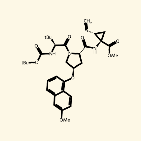 C=C[C@@H]1C[C@]1(NC(=O)[C@@H]1C[C@@H](Oc2cccc3cc(OC)ccc23)CN1C(=O)[C@@H](NC(=O)OC(C)(C)C)C(C)(C)C)C(=O)OC